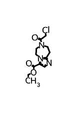 CCOC(=O)c1cnc2n1CCN(C(=O)CCl)CC2